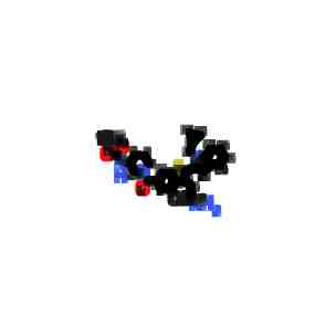 COc1cc(C(=O)N2CCCC(NC(=O)OC(C)(C)C)C2)cc2sc(-c3cc4ccccc4n3CC3CC3)c(CCN)c12